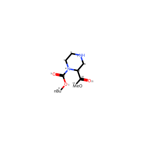 CCCCOC(=O)N1CCNCC1C(=O)OC